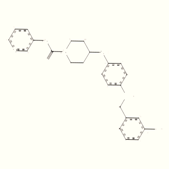 O=C(Nc1cccnc1)N1CCC(Nc2ccc(OCc3cccc(F)c3)cc2)CC1